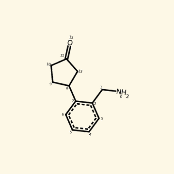 NCc1ccccc1C1CCC(=O)C1